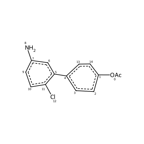 CC(=O)Oc1ccc(-c2cc(N)ccc2Cl)cc1